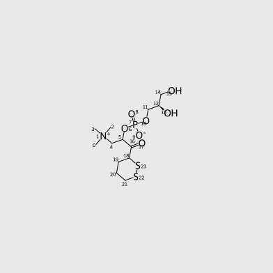 C[N+](C)(C)CC(OP(=O)([O-])OC[C@H](O)CO)C(=O)C1CCCSS1